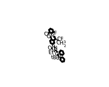 C=C([C@@H]1CN(c2c(F)cccc2Cl)C(=O)c2ccc(-n3nc(CO[Si](c4ccccc4)(c4ccccc4)C(C)(C)C)n(CC)c3=O)cc21)C(F)(F)F